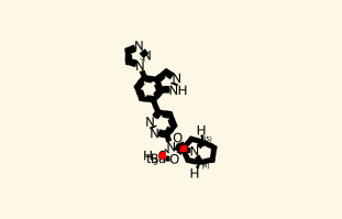 CN(c1ccc(-c2ccc(-n3ccnn3)c3cn[nH]c23)nn1)C1C[C@H]2CC[C@@H](C1)N2C(=O)OC(C)(C)C